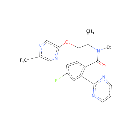 CCN(C(=O)c1ccc(F)cc1-c1ncccn1)[C@@H](C)COc1cnc(C(F)(F)F)cn1